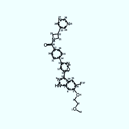 COCCOc1cc2[nH]nc(-c3cc(-c4ccc(C(=O)N5CC(c6cncnc6)C5)cc4)no3)c2cc1F